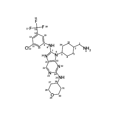 NCC1CCC(n2c(Nc3cc(Cl)cc(C(F)(F)F)c3)nc3cnc(NC4CCOCC4)nc32)CC1